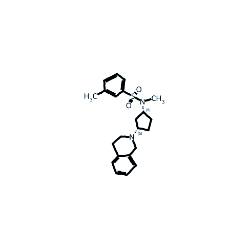 Cc1cccc(S(=O)(=O)N(C)[C@@H]2CC[C@H](N3CCc4ccccc4C3)C2)c1